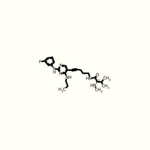 CCCNc1nc(Nc2cccc(F)c2)ncc1C#CCCCNC(=O)[C@@H](NC)C(C)C